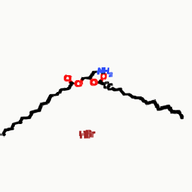 Br.CCCCCCCCCCCCCCCC(=O)OCC(CN)OC(=O)CCCCCCCCCCCCCCC